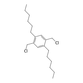 CCCCCCc1cc(CCl)c(CCCCCC)cc1CCl